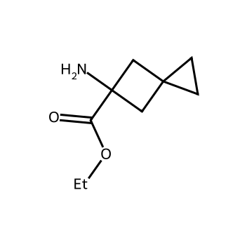 CCOC(=O)C1(N)CC2(CC2)C1